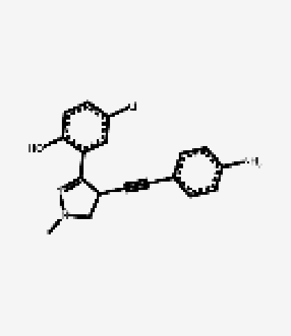 CN1CC(C#Cc2ccc(N)cc2)C(c2cc(Cl)ccc2O)=N1